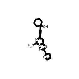 Nc1nc(C#CC2(O)CCCCC2)cc2nc(-c3ccco3)nn12